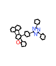 c1ccc(-c2nc(-c3ccccc3)nc(-c3ccc(-c4c5c(cc6oc7ccccc7c46)-c4cccc6cccc-5c46)cc3)n2)cc1